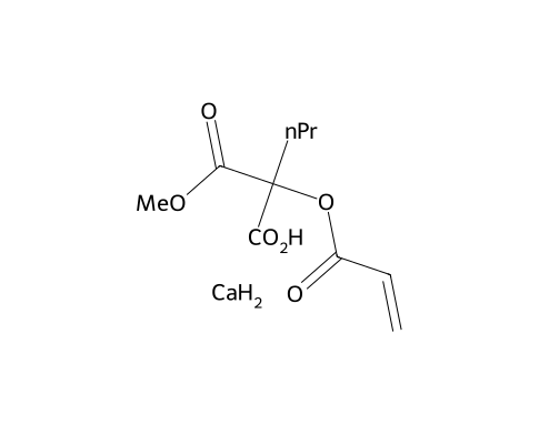 C=CC(=O)OC(CCC)(C(=O)O)C(=O)OC.[CaH2]